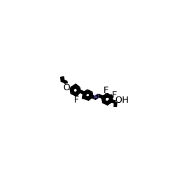 C=CCOc1ccc(-c2ccc(/C=C/c3ccc(C(C)O)c(F)c3F)cc2)c(F)c1